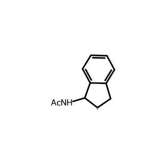 CC(=O)NC1[CH]Cc2ccccc21